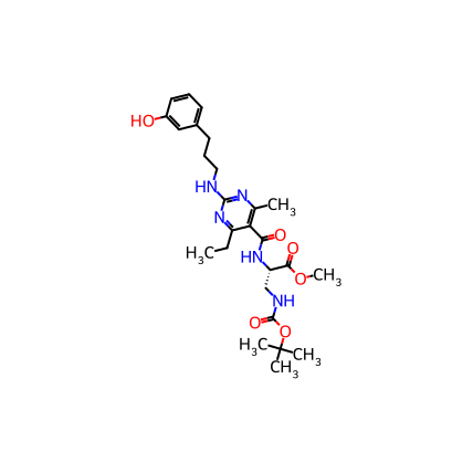 CCc1nc(NCCCc2cccc(O)c2)nc(C)c1C(=O)N[C@@H](CNC(=O)OC(C)(C)C)C(=O)OC